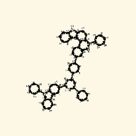 c1ccc(-c2cc(-c3ccc(-c4ccc5c(c4)nc(-c4ccccc4)c4ccc6sc7ccccc7c6c45)cc3)nc(-c3ccc4c(c3)c3ccccc3n4-c3ccccc3)n2)cc1